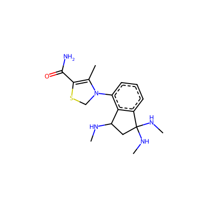 CNC1CC(NC)(NC)c2cccc(N3CSC(C(N)=O)=C3C)c21